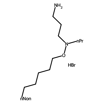 Br.CCCCCCCCCCCCCCON(CCC)CCCN